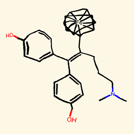 CN(C)CCCC(=C(c1ccc(O)cc1)c1ccc(O)cc1)[C]12[CH]3[CH]4[CH]5[CH]1[Fe]45321678[CH]2[CH]1[CH]6[CH]7[CH]28